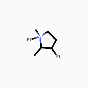 CCC1CC[N+](C)(CC)C1C